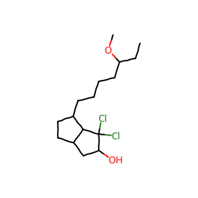 CCC(CCCCC1CCC2CC(O)C(Cl)(Cl)C12)OC